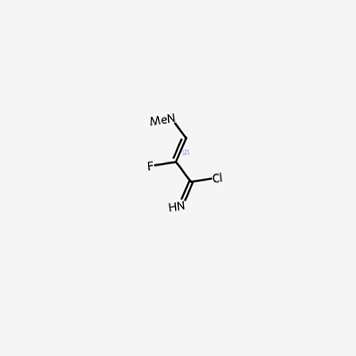 CN/C=C(\F)C(=N)Cl